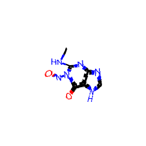 CNc1nc2nc[nH]c2c(=O)n1N=O